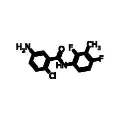 Cc1c(F)ccc(NC(=O)c2cc(N)ccc2Cl)c1F